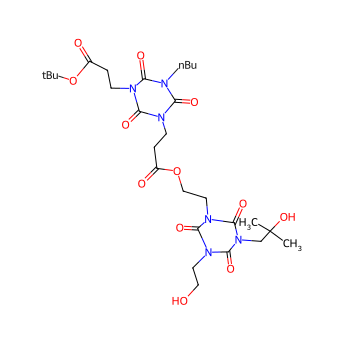 CCCCn1c(=O)n(CCC(=O)OCCn2c(=O)n(CCO)c(=O)n(CC(C)(C)O)c2=O)c(=O)n(CCC(=O)OC(C)(C)C)c1=O